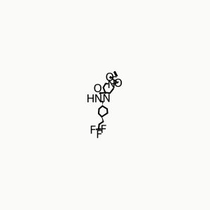 C=CS(=O)(=O)N1CCC2(CC1)N=C([C@H]1CC[C@H](CCC(F)(F)F)CC1)NC2=O